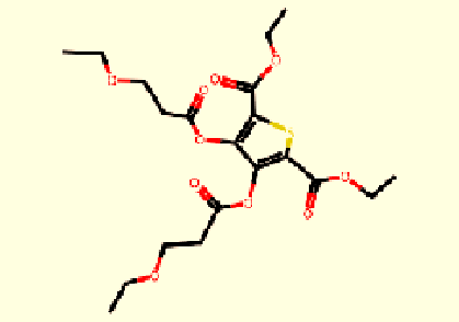 CCOCCC(=O)Oc1c(C(=O)OCC)sc(C(=O)OCC)c1OC(=O)CCOCC